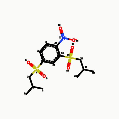 CC(C)CS(=O)(=O)c1ccc([N+](=O)[O-])c(S(=O)(=O)CC(C)C)c1